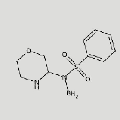 BN(C1COCCN1)S(=O)(=O)c1ccccc1